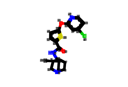 O=C(N[C@H]1CN2CCC1CC2)c1ccc(Oc2cc(Cl)ccn2)s1